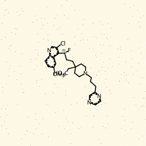 COc1ccc2ncc(Cl)c([C@@H](F)CCC3(CC(=O)O)CCN(CCCc4cnccn4)CC3)c2c1